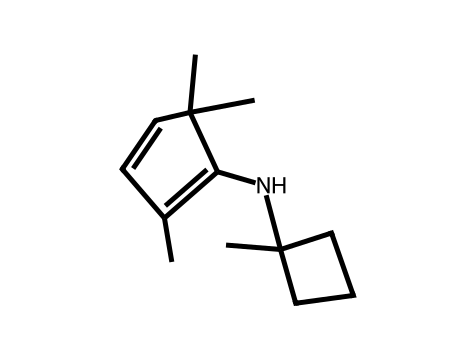 CC1=C(NC2(C)CCC2)C(C)(C)C=C1